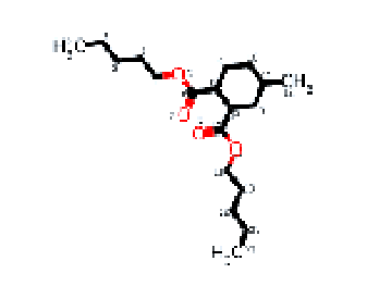 CCCCCOC(=O)C1CCC(C)CC1C(=O)OCCCCC